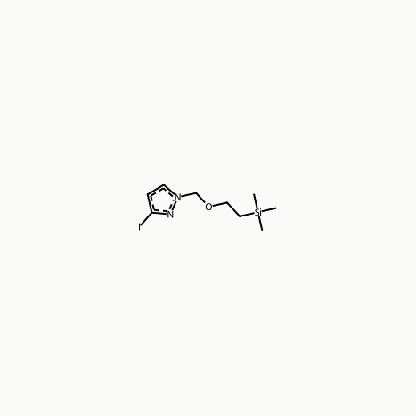 C[Si](C)(C)CCOCn1ccc(I)n1